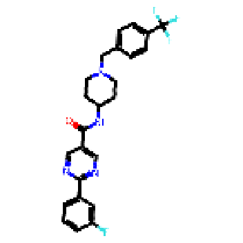 O=C(NC1CCN(Cc2ccc(C(F)(F)F)cc2)CC1)c1cnc(-c2cccc(F)c2)nc1